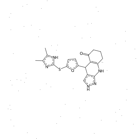 Cc1nc(Sc2ccc(C3C4=C(CCCC4=O)Nc4n[nH]cc43)o2)[nH]c1C